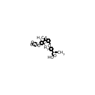 CC#C[C@@H](CC(=O)O)c1ccc(OCc2ccc3sc(C)c(-c4ccc(ON5CCS(=O)(=O)CC5)cc4C)c3c2)cc1